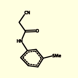 CSc1cccc(NC(=O)CC#N)c1